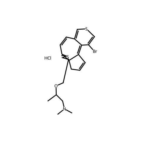 CC(CN(C)C)OCC1=CC=C2C=CC3=CSC=C(Br)C3=C3C=CCC23S1.Cl